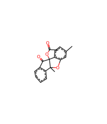 CC(=O)OC12C(=O)c3ccccc3C1(C)Oc1cc(C)ccc12